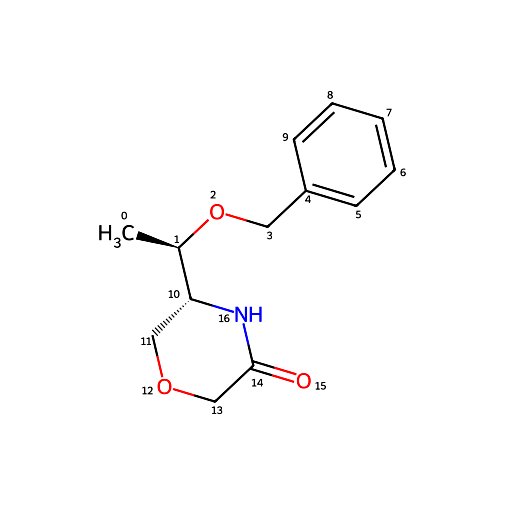 C[C@@H](OCc1ccccc1)[C@H]1COCC(=O)N1